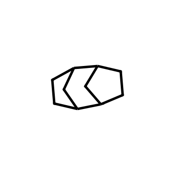 C1CC2C[C]1C1CCC2C1